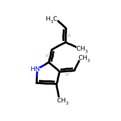 C\C=C(C)/C=c1/[nH]cc(C)/c1=C/C